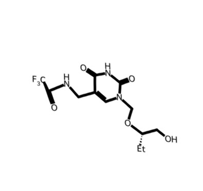 CC[C@@H](CO)OCn1cc(CNC(=O)C(F)(F)F)c(=O)[nH]c1=O